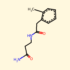 Cc1ccccc1CC(=O)NCCC(N)=O